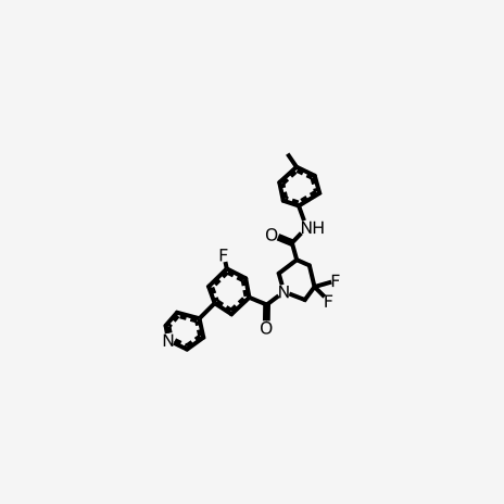 Cc1ccc(NC(=O)C2CN(C(=O)c3cc(F)cc(-c4ccncc4)c3)CC(F)(F)C2)cc1